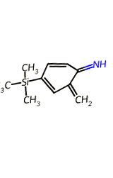 C=C1C=C([Si](C)(C)C)C=CC1=N